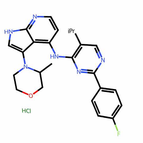 CC(C)c1cnc(-c2ccc(F)cc2)nc1Nc1ccnc2[nH]cc(N3CCOCC3C)c12.Cl